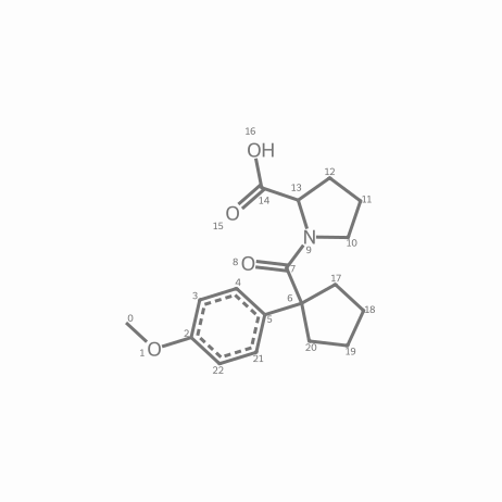 COc1ccc(C2(C(=O)N3CCCC3C(=O)O)CCCC2)cc1